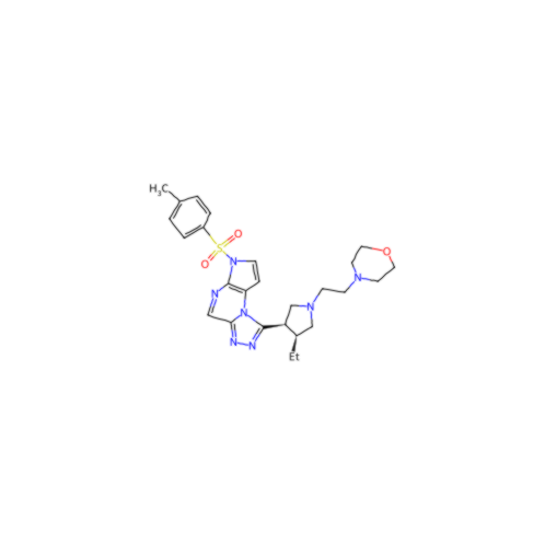 CC[C@@H]1CN(CCN2CCOCC2)C[C@@H]1c1nnc2cnc3c(ccn3S(=O)(=O)c3ccc(C)cc3)n12